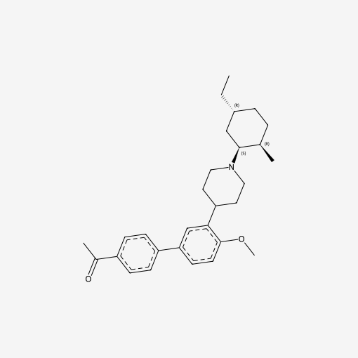 CC[C@@H]1CC[C@@H](C)[C@@H](N2CCC(c3cc(-c4ccc(C(C)=O)cc4)ccc3OC)CC2)C1